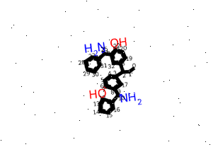 CCC(c1ccc(O)c(C(N)c2ccccc2)c1)c1ccc(O)c(C(N)c2ccccc2)c1